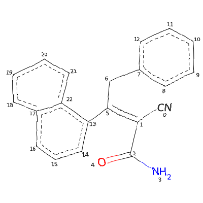 N#CC(C(N)=O)=C(Cc1ccccc1)c1cccc2ccccc12